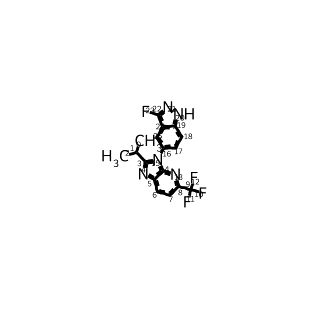 CC(C)c1nc2ccc(C(F)(F)F)nc2n1-c1ccc2[nH]nc(F)c2c1